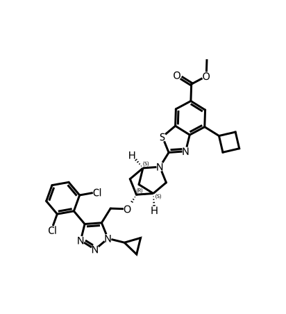 COC(=O)c1cc(C2CCC2)c2nc(N3C[C@@H]4C[C@H]3C[C@H]4OCc3c(-c4c(Cl)cccc4Cl)nnn3C3CC3)sc2c1